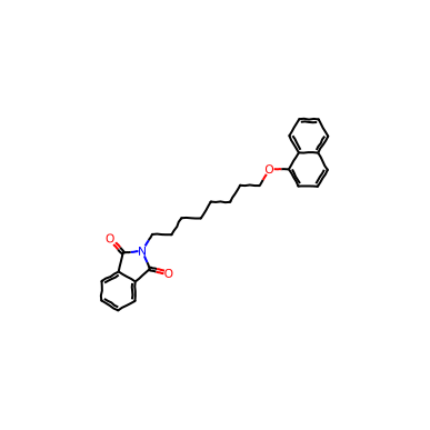 O=C1c2ccccc2C(=O)N1CCCCCCCCOc1cccc2ccccc12